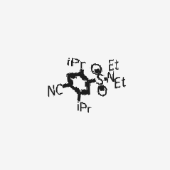 CCN(CC)S(=O)(=O)c1cc(C(C)C)c(C#N)cc1C(C)C